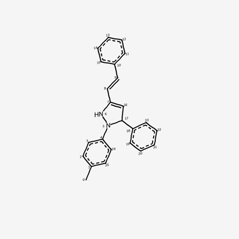 Cc1ccc(N2NC(C=Cc3ccccc3)=CC2c2ccccc2)cc1